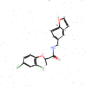 CC(Oc1ccc(Cl)cc1Cl)C(=O)NCc1ccc2occc2c1